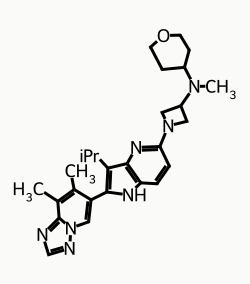 Cc1c(-c2[nH]c3ccc(N4CC(N(C)C5CCOCC5)C4)nc3c2C(C)C)cn2ncnc2c1C